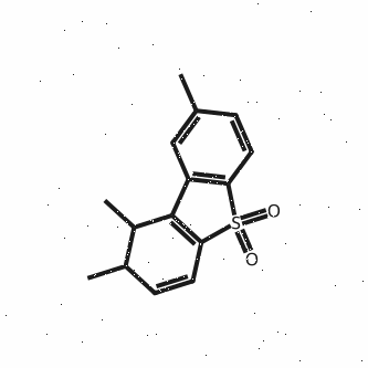 Cc1ccc2c(c1)C1=C(C=CC(C)C1C)S2(=O)=O